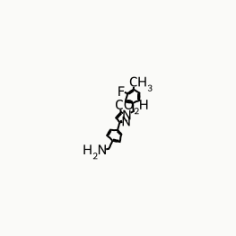 Cc1ccc(Cn2nc(-c3ccc(CN)cc3)cc2C(=O)O)cc1F